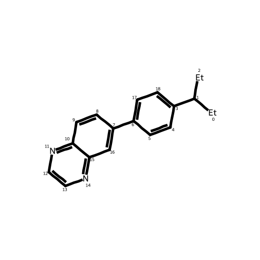 CCC(CC)c1ccc(-c2ccc3nccnc3c2)cc1